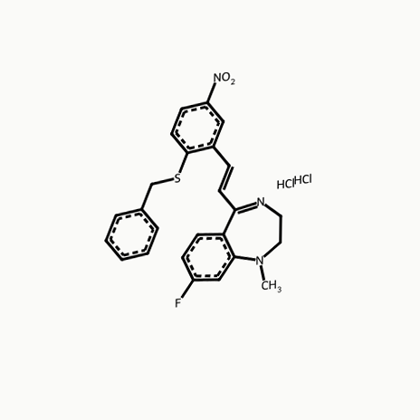 CN1CCN=C(C=Cc2cc([N+](=O)[O-])ccc2SCc2ccccc2)c2ccc(F)cc21.Cl.Cl